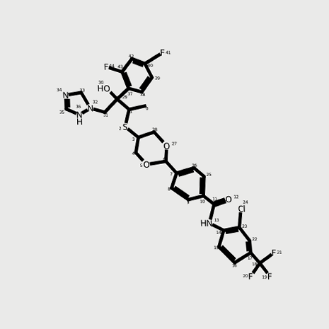 CC(SC1COC(c2ccc(C(=O)Nc3ccc(C(F)(F)F)cc3Cl)cc2)OC1)C(O)(CN1CN=CN1)c1ccc(F)cc1F